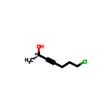 C[C@H](O)C#CCCCCl